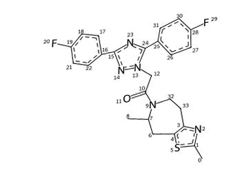 Cc1nc2c(s1)CC(C)N(C(=O)Cn1nc(-c3ccc(F)cc3)nc1-c1ccc(F)cc1)CC2